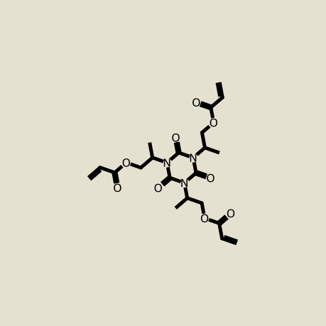 C=CC(=O)OCC(C)n1c(=O)n(C(C)COC(=O)C=C)c(=O)n(C(C)COC(=O)C=C)c1=O